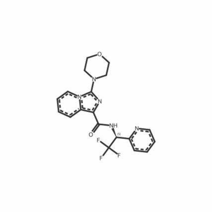 O=C(N[C@@H](c1ccccn1)C(F)(F)F)c1nc(N2CCOCC2)n2ccccc12